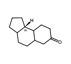 O=C1CCC2C(CCC3CCC[C@@H]32)C1